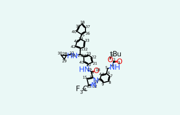 CC(C)(C)OC(=O)NCc1cccc(-n2nc(C(F)(F)F)cc2C(=O)Nc2cccc(C(NCC3CC3)c3ccc(-c4ccccc4)cc3)c2)c1